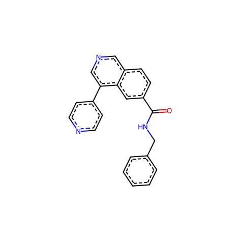 O=C(NCc1ccccc1)c1ccc2cncc(-c3ccncc3)c2c1